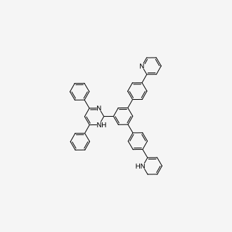 C1=CCNC(c2ccc(-c3cc(-c4ccc(-c5ccccn5)cc4)cc(C4N=C(c5ccccc5)C=C(c5ccccc5)N4)c3)cc2)=C1